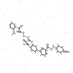 COc1ccccc1C(=O)NCCCN(Cc1cccc(-c2ccnc(NCCc3ccc(O)cc3)n2)c1)S(C)(=O)=O